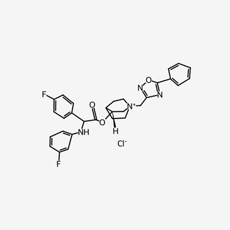 O=C(O[C@H]1C[N+]2(Cc3noc(-c4ccccc4)n3)CCC1CC2)C(Nc1cccc(F)c1)c1ccc(F)cc1.[Cl-]